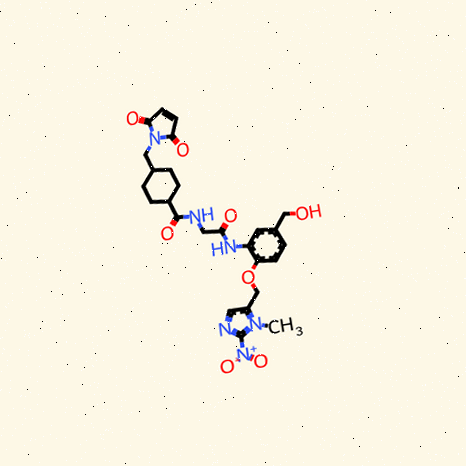 Cn1c(COc2ccc(CO)cc2NC(=O)CNC(=O)C2CCC(CN3C(=O)C=CC3=O)CC2)cnc1[N+](=O)[O-]